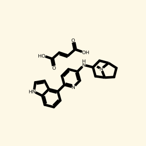 CN1C2CCC1CC(Nc1ccc(-c3cccc4[nH]ccc34)nc1)C2.O=C(O)/C=C/C(=O)O